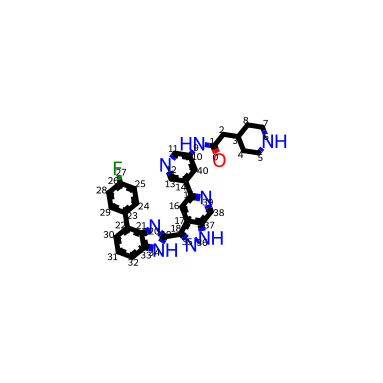 O=C(CC1CCNCC1)Nc1cncc(-c2cc3c(-c4nc5c(-c6ccc(F)cc6)cccc5[nH]4)n[nH]c3cn2)c1